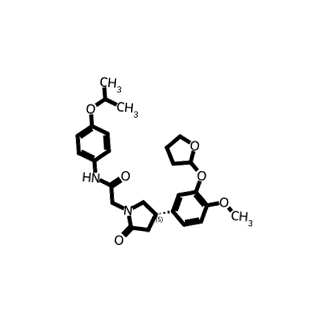 COc1ccc([C@@H]2CC(=O)N(CC(=O)Nc3ccc(OC(C)C)cc3)C2)cc1OC1CCCO1